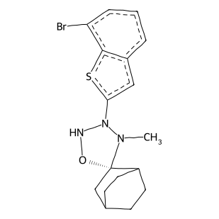 CN1N(c2cc3cccc(Br)c3s2)NO[C@]12CC1CCC2CC1